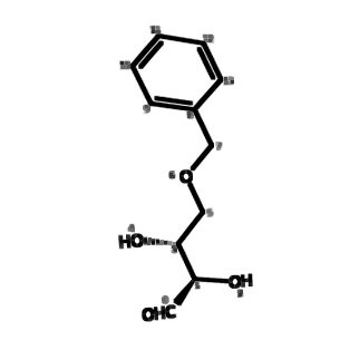 O=C[C@H](O)[C@H](O)COCc1ccccc1